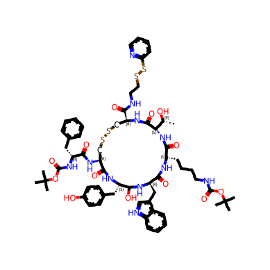 C[C@@H](O)[C@@H]1NC(=O)[C@H](CCCCNC(=O)OC(C)(C)C)NC(=O)[C@@H](Cc2c[nH]c3ccccc23)NC(O)[C@H](Cc2ccc(O)cc2)NC(=O)[C@@H](NC(=O)[C@@H](Cc2ccccc2)NC(=O)OC(C)(C)C)CSSC[C@@H](C(=O)NCCSSc2ccccn2)NC1=O